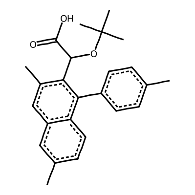 Cc1ccc(-c2c(C(OC(C)(C)C)C(=O)O)c(C)cc3cc(C)ccc23)cc1